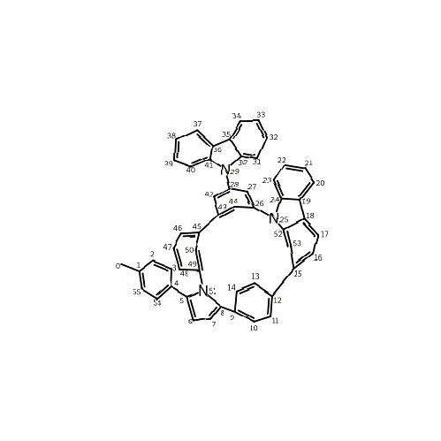 Cc1ccc(-c2ccc3c4ccc(cc4)c4ccc5c6ccccc6n(c6cc(-n7c8ccccc8c8ccccc87)cc(c6)c6cccc(c6)n23)c5c4)cc1